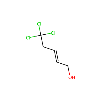 OCC=CCC(Cl)(Cl)Cl